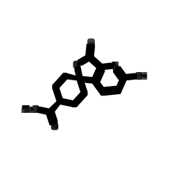 COC(=O)[C@H]1CC[C@@]2(CC1)OC(=O)c1nc(O)ccc12